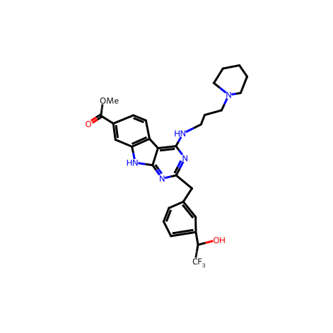 COC(=O)c1ccc2c(c1)[nH]c1nc(Cc3cccc(C(O)C(F)(F)F)c3)nc(NCCCN3CCCCC3)c12